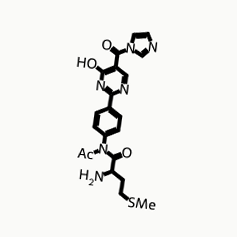 CSCCC(N)C(=O)N(C(C)=O)c1ccc(-c2ncc(C(=O)n3ccnc3)c(O)n2)cc1